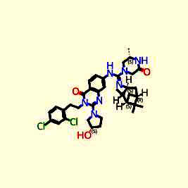 C[C@@H]1[C@@H](N=C(Nc2ccc3c(=O)n(CCc4ccc(Cl)cc4Cl)c(N4CC[C@H](O)C4)nc3c2)N2CC(=O)N[C@@H](C)C2)C[C@H]2C[C@@H]1C2(C)C